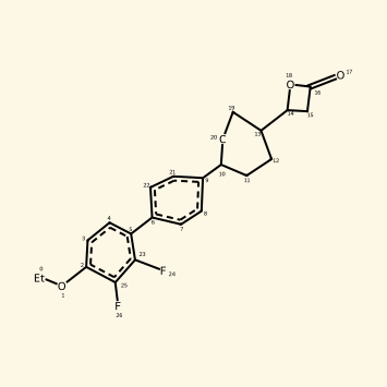 CCOc1ccc(-c2ccc(C3CCC(C4CC(=O)O4)CC3)cc2)c(F)c1F